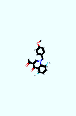 COc1ccc(Cn2cc(C(C)=O)c(=O)c3c(F)ccc(F)c32)cc1